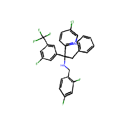 Fc1cc(C(F)(F)F)cc(C(Cc2ccccc2)(NCc2ccc(F)cc2F)c2ccc(Cl)cn2)c1